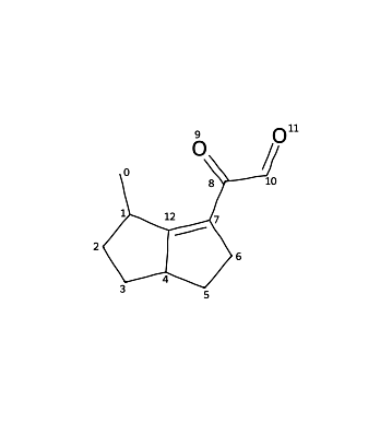 CC1CCC2CCC(C(=O)C=O)=C12